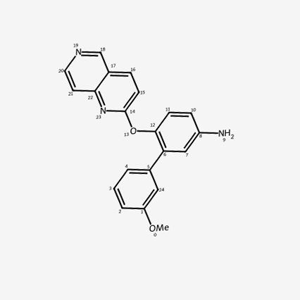 COc1cccc(-c2cc(N)ccc2Oc2ccc3cnccc3n2)c1